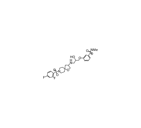 CNS(=O)(=O)c1cccc(OCC(O)CNC2COC3(CCN(S(=O)(=O)c4ccc(F)cc4F)CC3)C2)c1